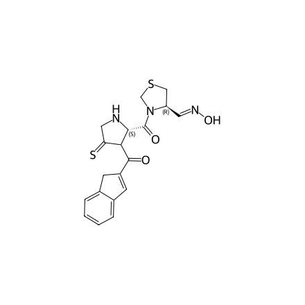 O=C(C1=Cc2ccccc2C1)C1C(=S)CN[C@@H]1C(=O)N1CSC[C@H]1C=NO